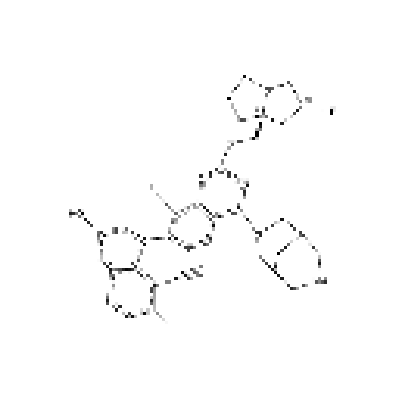 C#Cc1c(F)ccc2cc(O)cc(-c3ncc4c(N5CC6CNCC(C6)C5)nc(OC[C@@]56CCCN5C[C@H](F)C6)nc4c3F)c12